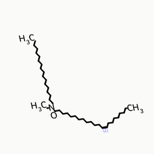 CCCCCCCC/C=C\CCCCCCCCCCCC(=O)N(CC)CCCCCCCCCCCCCCCCCC